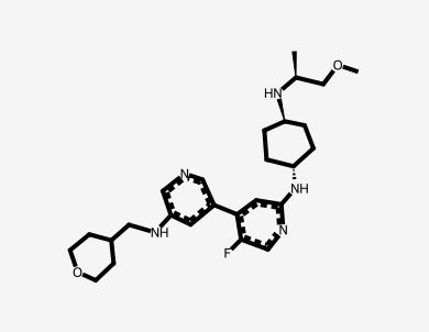 COC[C@H](C)N[C@H]1CC[C@H](Nc2cc(-c3cncc(NCC4CCOCC4)c3)c(F)cn2)CC1